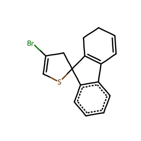 BrC1=CSC2(C1)C1=C(C=CCC1)c1ccccc12